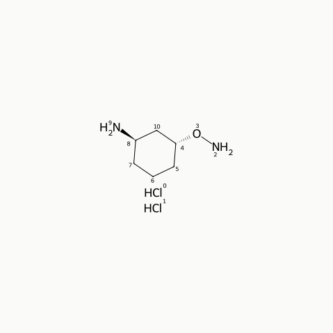 Cl.Cl.NO[C@@H]1CCC[C@@H](N)C1